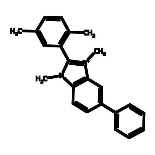 Cc1ccc(C)c(-c2n(C)c3ccc(-c4ccccc4)cc3[n+]2C)c1